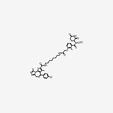 Cc1c(OCC(=O)NCCCCCCCCNC(=O)c2sc3c(c2C)C(c2ccc(Cl)cc2)=NCc2nnc(C)n2-3)cccc1C(=O)N(C=O)C1CCC(=O)NC1=O